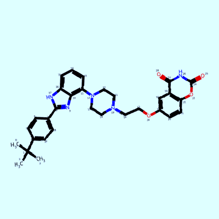 CC(C)(C)c1ccc(-c2nc3c(N4CCN(CCOc5ccc6oc(=O)[nH]c(=O)c6c5)CC4)cccc3[nH]2)cc1